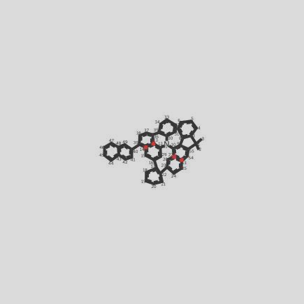 CC1(C)c2ccccc2-c2c(N(c3cccc(-c4ccccc4-c4ccccc4)c3)c3ccccc3-c3ccc(-c4ccc5ccccc5c4)cc3)cccc21